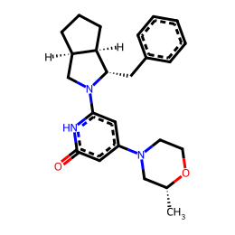 C[C@@H]1CN(c2cc(N3C[C@H]4CCC[C@H]4[C@@H]3Cc3ccccc3)[nH]c(=O)c2)CCO1